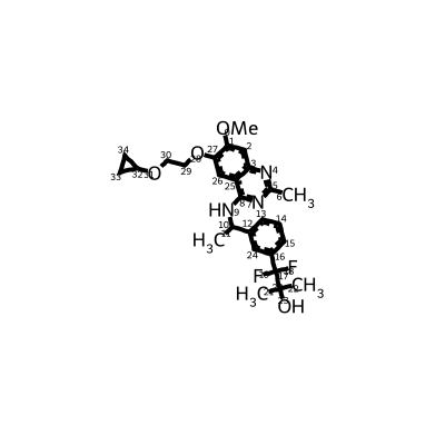 COc1cc2nc(C)nc(NC(C)c3cccc(C(F)(F)C(C)(C)O)c3)c2cc1OCCOC1CC1